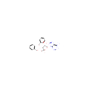 Nc1ncnc2c1ncn2[C@@H]1O[C@](CO)(COCc2ccccc2)[C@@H](OCc2ccccc2)[C@H]1O